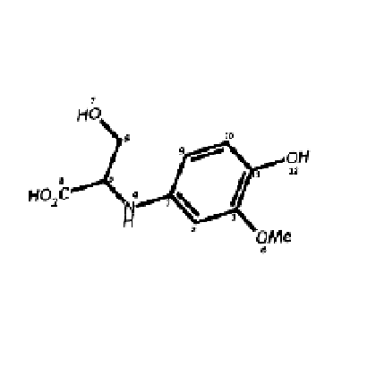 COc1cc(NC(CO)C(=O)O)ccc1O